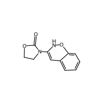 O=C1OCCN1C1=Cc2ccccc2ON1